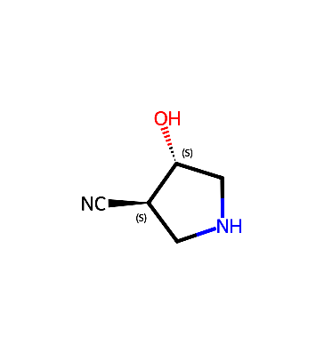 N#C[C@@H]1CNC[C@H]1O